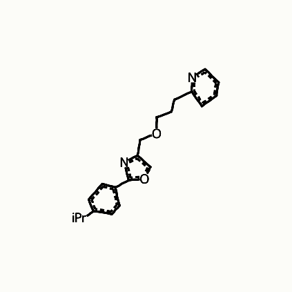 CC(C)c1ccc(-c2nc(COCCCc3ccccn3)co2)cc1